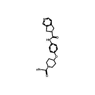 CCCC(=O)N1CCC(Oc2ccc(NC(=O)N3Cc4ccncc4C3)cc2)CC1